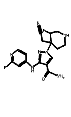 N#CCC1(n2cc(C(N)=O)c(Nc3ccnc(F)c3)n2)CCNCC1F